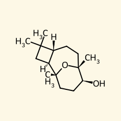 CC1(C)C[C@H]2[C@H]1CC[C@@]1(C)O[C@]2(C)CC[C@@H]1O